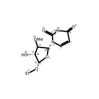 CCO[C@H]1O[C@@H](n2ccc(=O)[nH]c2=O)C(OC)[C@H]1O